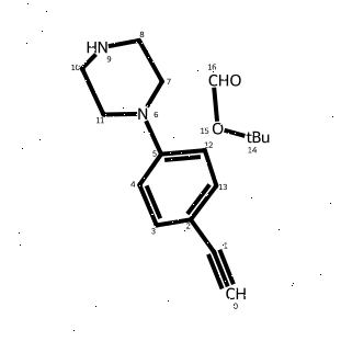 C#Cc1ccc(N2CCNCC2)cc1.CC(C)(C)OC=O